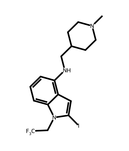 CN1CCC(CNc2cccc3c2cc(I)n3CC(F)(F)F)CC1